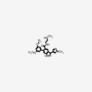 CNCCNC(=O)c1cc2c(-c3cnn(C)c3)n[nH]c2cc1-c1cc(OC)cc(OC)c1